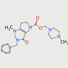 CN1CCN(COC(=O)N2CCC3=C(C2)C(=O)N(Cc2ccccc2)CN3C)CC1